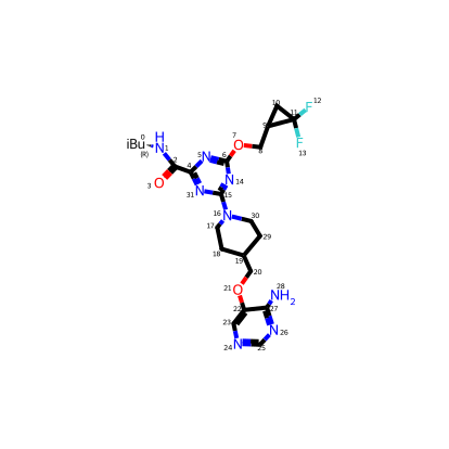 CC[C@@H](C)NC(=O)c1nc(OCC2CC2(F)F)nc(N2CCC(COc3cncnc3N)CC2)n1